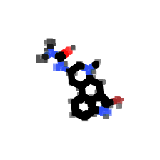 CCN(CC)C(=O)N[C@@H]1CC2c3cccc4[nH]c(Br)c(c34)CC2N(C)C1